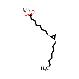 CCCCCCCC[C@H]1C[C@H]1CCCCCCCC(=O)OC